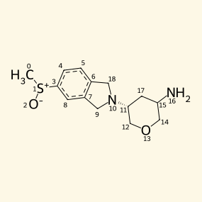 C[S+]([O-])c1ccc2c(c1)CN([C@H]1COCC(N)C1)C2